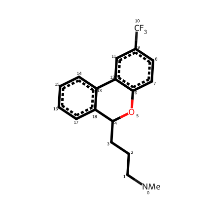 CNCCCC1Oc2ccc(C(F)(F)F)cc2-c2ccccc21